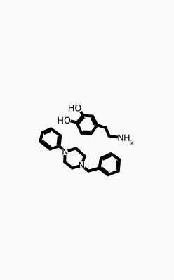 NCCc1ccc(O)c(O)c1.c1ccc(CN2CCN(c3ccccc3)CC2)cc1